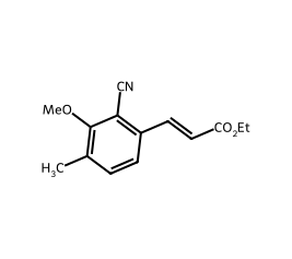 CCOC(=O)/C=C/c1ccc(C)c(OC)c1C#N